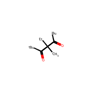 CCC(C)C(=O)C(C)(CC)C(=O)C(C)(C)C